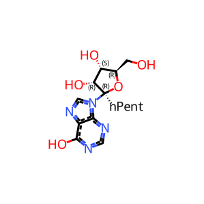 CCCCC[C@@]1(n2cnc3c(O)ncnc32)O[C@H](CO)[C@@H](O)[C@H]1O